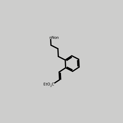 CCCCCCCCCCCCc1ccccc1C=CC(=O)OCC